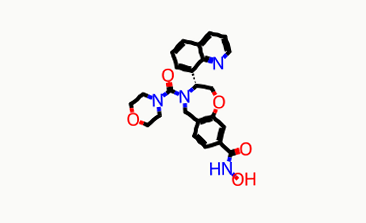 O=C(NO)c1ccc2c(c1)OC[C@@H](c1cccc3cccnc13)N(C(=O)N1CCOCC1)C2